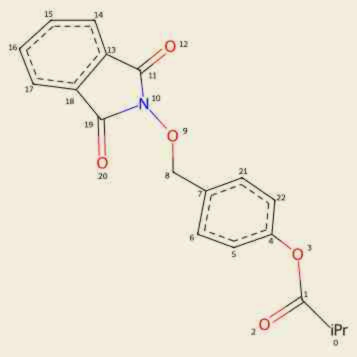 CC(C)C(=O)Oc1ccc(CON2C(=O)c3ccccc3C2=O)cc1